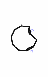 [CH]1/C=C/C/C=C\CCCC1